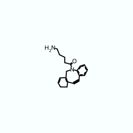 NCCCCC(=O)N1CC2=C(C#Cc3ccccc31)CCC=C2